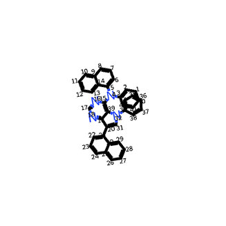 c1ccc(N(c2cccc3ccccc23)c2ncnc3c(-c4cccc5ccccc45)cn(-c4ccccc4)c23)cc1